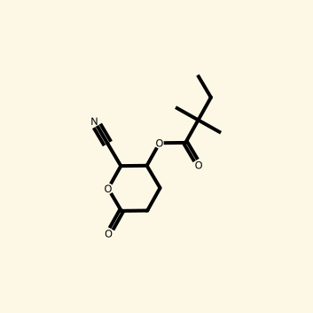 CCC(C)(C)C(=O)OC1CCC(=O)OC1C#N